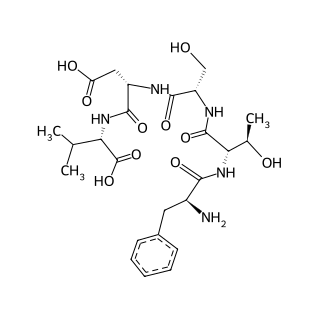 CC(C)[C@H](NC(=O)[C@H](CC(=O)O)NC(=O)[C@H](CO)NC(=O)[C@@H](NC(=O)[C@@H](N)Cc1ccccc1)[C@@H](C)O)C(=O)O